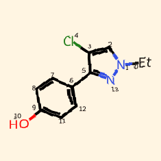 CCn1cc(Cl)c(-c2ccc(O)cc2)n1